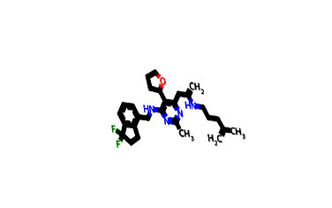 C=C(C)CCCNC(=C)Cc1nc(C)nc(NCc2cccc3c2CCC3(F)F)c1C1CCCO1